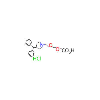 Cl.O=C(O)COCCOCCN1CCC(=C(c2ccccc2)c2ccccc2)CC1